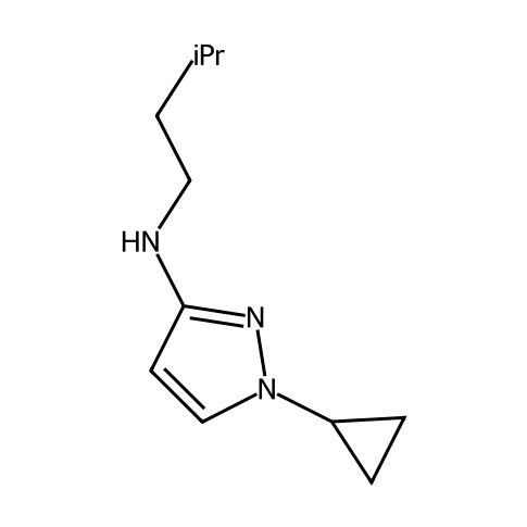 CC(C)CCNc1ccn(C2CC2)n1